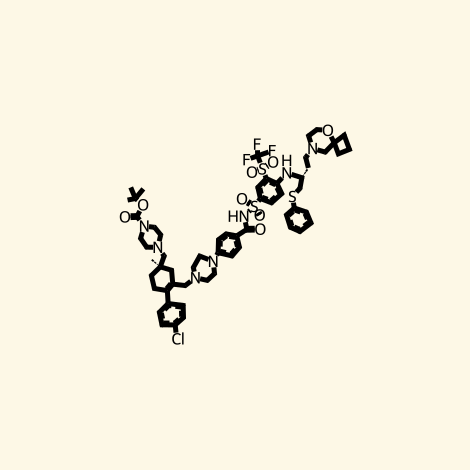 CC(C)(C)OC(=O)N1CCN(C[C@]2(C)CCC(c3ccc(Cl)cc3)=C(CN3CCN(c4ccc(C(=O)NS(=O)(=O)c5ccc(N[C@H](CCN6CCOC7(CCC7)C6)CSc6ccccc6)c(S(=O)(=O)C(F)(F)F)c5)cc4)CC3)C2)CC1